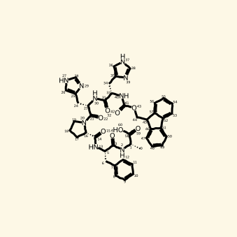 C[C@H](NC(=O)[C@H](Cc1ccccc1)NC(=O)[C@@H]1CCCN1C(=O)[C@H](Cc1c[nH]cn1)NC(=O)[C@H](Cc1c[nH]cn1)NC(=O)OCC1c2ccccc2-c2ccccc21)C(=O)O